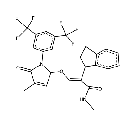 CNC(=O)/C(=C/OC1C=C(C)C(=O)N1c1cc(C(F)(F)F)cc(C(F)(F)F)c1)C1CCc2ccccc21